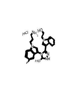 Cl.NCCCn1cc(N2C(c3cn(CCO)c4ccccc34)=NNC2O)c2cc(F)ccc21